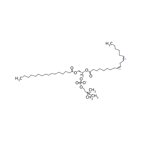 CCCCC/C=C\C/C=C\CCCCCCCC(=O)O[C@H](COC(=O)CCCCCCCCCCCCCCC)COP(=O)([O-])OCC[N+](C)(C)C